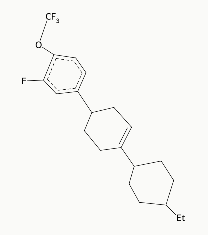 CCC1CCC(C2=CCC(c3ccc(OC(F)(F)F)c(F)c3)CC2)CC1